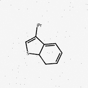 CC(C)C1=CSC2CC=CC=C12